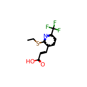 CCSc1nc(C(F)(F)F)ccc1C=CC(=O)O